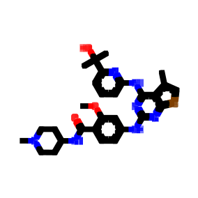 COc1cc(Nc2nc(Nc3cccc(C(C)(C)O)n3)c3c(C)csc3n2)ccc1C(=O)NC1CCN(C)CC1